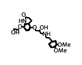 COc1ccc(CCNCC(O)COc2ccc(OCCO)c3c2CCC(=O)N3)cc1OC